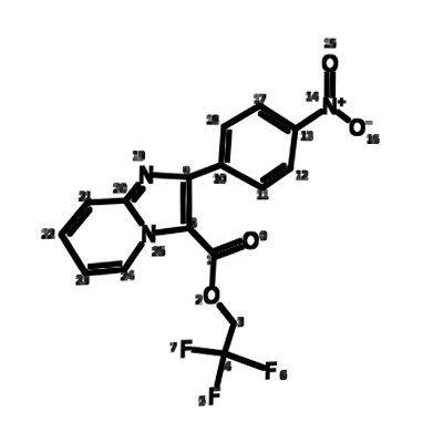 O=C(OCC(F)(F)F)c1c(-c2ccc([N+](=O)[O-])cc2)nc2ccccn12